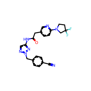 N#Cc1ccc(Cn2ncc(NC(=O)Cc3ccc(N4CCC(F)(F)C4)nc3)n2)cc1